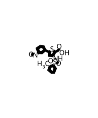 Cc1ccccc1S(=O)(=O)Nc1cc(-c2cccc(N=O)c2)sc1C(=O)O